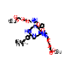 CC(C)[Si](C#Cc1ccc(-c2c3nc(cc4ccc([nH]4)c(-c4c(OCc5cn(CCOCCOCCC(=O)OC(C)(C)C)nn5)cccc4OCc4cn(CCOCCOCCC(=O)OC(C)(C)C)nn4)c4nc(cc5ccc2[nH]5)C=C4)C=C3)cc1)(C(C)C)C(C)C